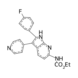 CCOC(=O)Nc1ccc2c(-c3ccncc3)c(-c3ccc(F)cc3)[nH]c2n1